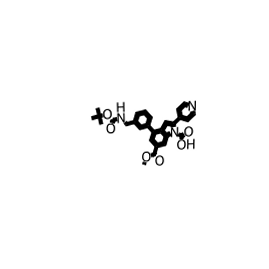 COC(=O)c1cc(-c2cccc(CNC(=O)OC(C)(C)C)c2)c2cc(-c3ccncc3)n(C(=O)O)c2c1